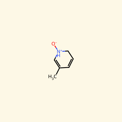 CC1=C[NH+]([O-])CC=C1